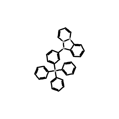 C1=CN2c3ccccc3N(c3cccc([Si](c4ccccc4)(c4ccccc4)c4ccccc4)c3)N2C=C1